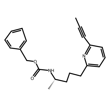 CC#Cc1cccc(CCC[C@H](C)NC(=O)OCc2ccccc2)n1